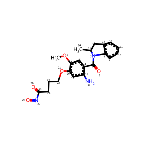 COc1cc(C(=O)N2c3ccccc3CC2C)c(N)cc1OCCCC(=O)N=O